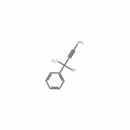 CC(C)C(C)(C#CN)c1ccccc1